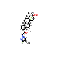 C[C@@]1(O)CC[C@@]2(F)[C@H](CC[C@H]3[C@@H]4CC[C@H](C(=O)Cn5cc(C#N)c(F)n5)[C@@]4(C)CC[C@@H]32)C1